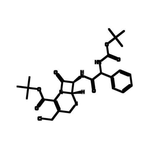 CC(C)(C)OC(=O)NC(C(=O)N[C@@H]1C(=O)N2C(C(=O)OC(C)(C)C)=C(CCl)CS[C@@H]12)c1ccccc1